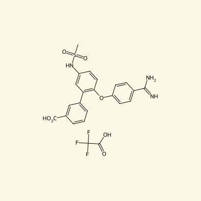 CS(=O)(=O)Nc1ccc(Oc2ccc(C(=N)N)cc2)c(-c2cccc(C(=O)O)c2)c1.O=C(O)C(F)(F)F